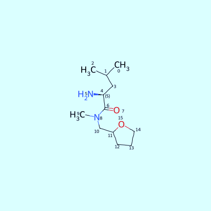 CC(C)C[C@H](N)C(=O)N(C)CC1CCCO1